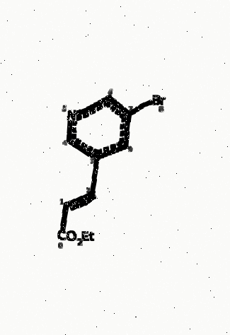 CCOC(=O)/C=C/c1cncc(Br)c1